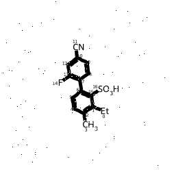 CCc1c(C)ccc(-c2ccc(C#N)cc2F)c1S(=O)(=O)O